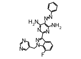 Nc1nc(-c2nn(Cc3cncnc3)c3c(F)cccc23)nc(N)c1N=Nc1ccccc1